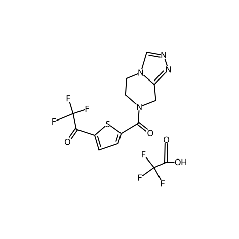 O=C(O)C(F)(F)F.O=C(c1ccc(C(=O)C(F)(F)F)s1)N1CCn2cnnc2C1